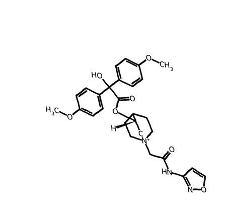 COc1ccc(C(O)(C(=O)O[C@H]2C[N+]3(CC(=O)Nc4ccon4)CCC2CC3)c2ccc(OC)cc2)cc1